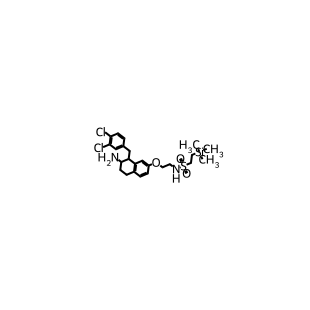 C[Si](C)(C)CCS(=O)(=O)NCCOc1ccc2c(c1)C(Cc1ccc(Cl)c(Cl)c1)C(N)CC2